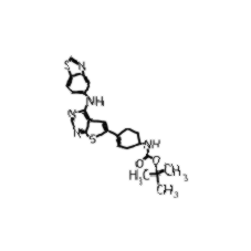 CC(C)(C)OC(=O)NC1CC=C(c2cc3c(Nc4ccc5scnc5c4)ncnc3s2)CC1